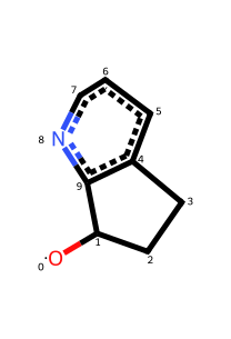 [O]C1CCc2cccnc21